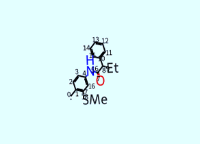 [CH2]c1ccc(NC(=O)C(CC)c2ccccc2)cc1SC